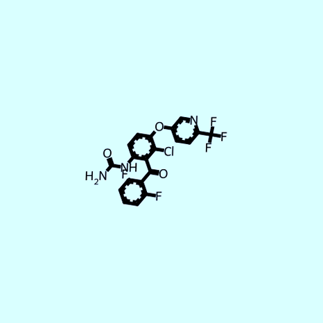 NC(=O)Nc1ccc(Oc2ccc(C(F)(F)F)nc2)c(Cl)c1C(=O)c1c(F)cccc1F